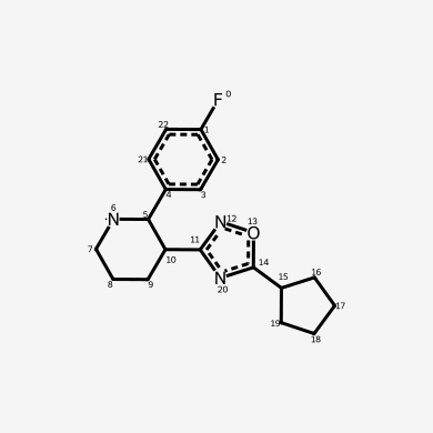 Fc1ccc(C2[N]CCCC2c2noc(C3CCCC3)n2)cc1